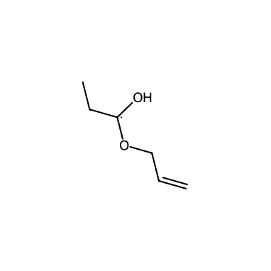 C=CCO[C](O)CC